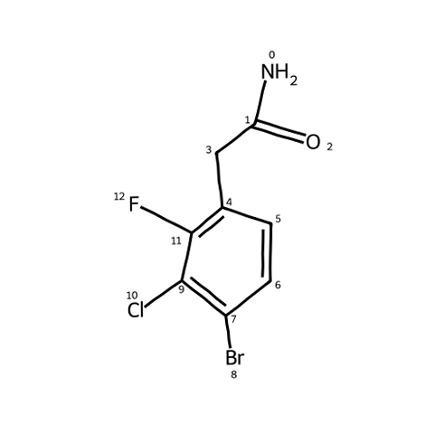 NC(=O)Cc1ccc(Br)c(Cl)c1F